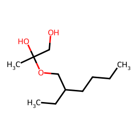 CCCCC(CC)COC(C)(O)CO